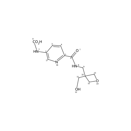 O=C(O)Nc1ccc(C(=O)NCC2(CO)COC2)nc1